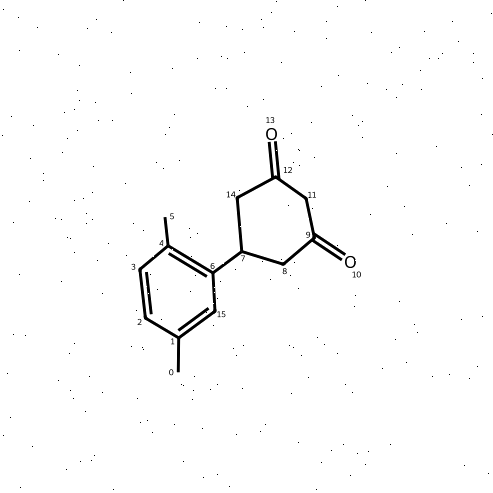 Cc1ccc(C)c(C2CC(=O)CC(=O)C2)c1